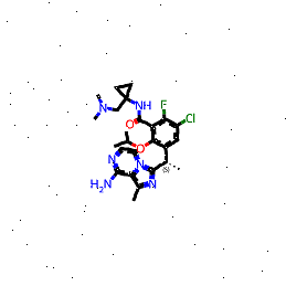 Cc1nc([C@@H](C)c2cc(Cl)c(F)c(C(=O)NC3(CN(C)C)CC3)c2OC(C)C)n2ccnc(N)c12